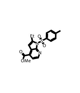 CCc1cc2c(C(=O)OC)ccnc2n1S(=O)(=O)c1ccc(C)cc1